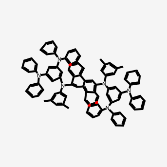 Cc1cc(C)cc(N(c2cc(N(c3ccccc3)c3ccccc3)cc(N(c3ccccc3)c3ccccc3)c2)c2cc3c4ccccc4c(N(c4cc(C)cc(C)c4)c4cc(N(c5ccccc5)c5ccccc5)cc(N(c5ccccc5)c5ccccc5)c4)cc3c3ccccc23)c1